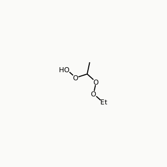 CCOOC(C)OO